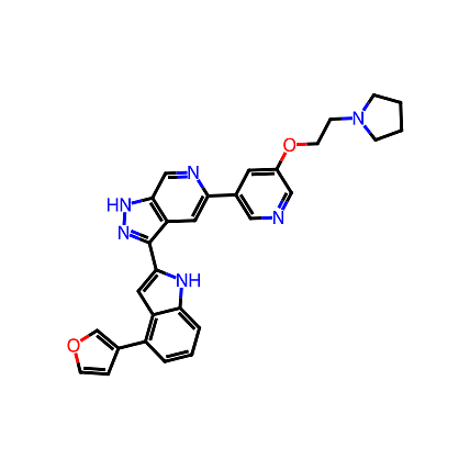 c1cc(-c2ccoc2)c2cc(-c3n[nH]c4cnc(-c5cncc(OCCN6CCCC6)c5)cc34)[nH]c2c1